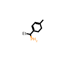 CCC(P)C1=CC=C(C)CC1